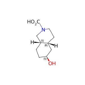 O=C(O)N1CC[C@@H]2C[C@@H](O)CC[C@@H]2C1